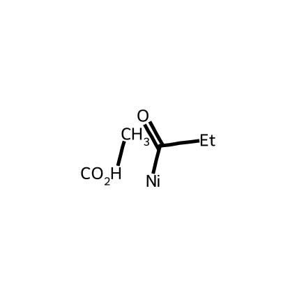 CC(=O)O.CC[C](=O)[Ni]